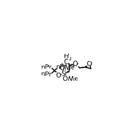 CCCC(CCC)(CCC)O[Si](CC(C)OCC1CO1)(OC)OC